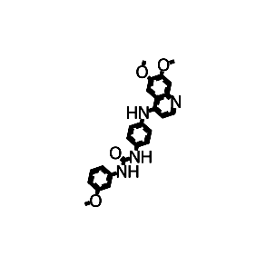 COc1cccc(NC(=O)Nc2ccc(Nc3ccnc4cc(OC)c(OC)cc34)cc2)c1